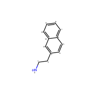 [NH]CCc1ccc2ccccc2c1